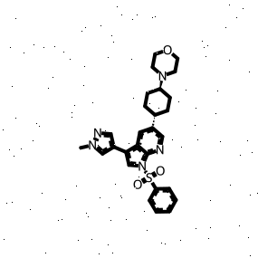 Cn1cc(-c2cn(S(=O)(=O)c3ccccc3)c3ncc([C@H]4CC[C@H](N5CCOCC5)CC4)cc23)cn1